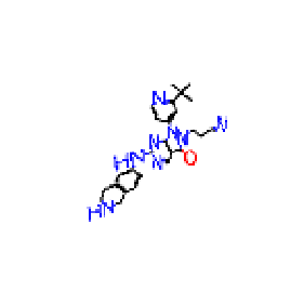 CC(C)(C)c1cc(-n2c3nc(Nc4ccc5c(c4)CCNC5)ncc3c(=O)n2CCC#N)ccn1